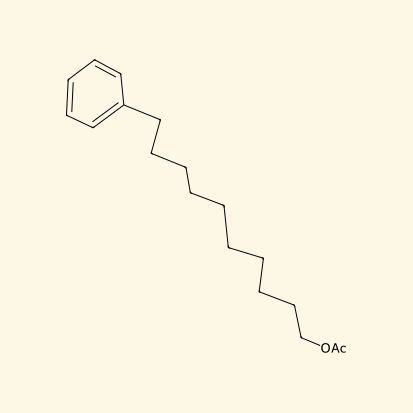 CC(=O)OCCCCCCCCCCc1ccccc1